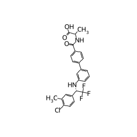 Cc1cc([C@H](Nc2cccc(-c3ccc(C(=O)NC(C)C(=O)O)cc3)c2)C(F)(F)F)ccc1Cl